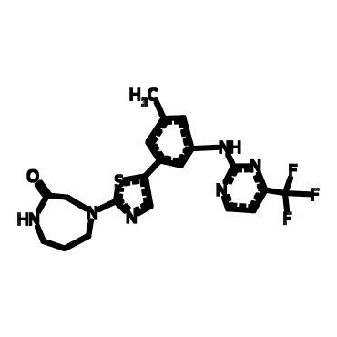 Cc1cc(Nc2nccc(C(F)(F)F)n2)cc(-c2cnc(N3CCCNC(=O)C3)s2)c1